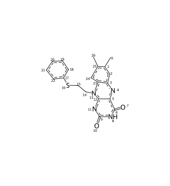 Cc1cc2nc3c(=O)[nH]c(=O)nc-3n(CCSc3ccccc3)c2cc1C